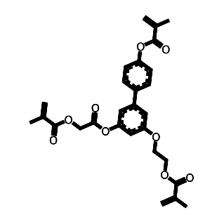 C=C(C)C(=O)OCCOc1cc(OC(=O)COC(=O)C(=C)C)cc(-c2ccc(OC(=O)C(=C)C)cc2)c1